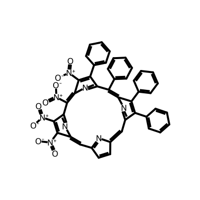 O=[N+]([O-])C1=C2N=C(C(c3ccccc3)=C3N=C(C=C4C=CC(=N4)C=C4N=C1C([N+](=O)[O-])=C4[N+](=O)[O-])C(c1ccccc1)=C3c1ccccc1)C(c1ccccc1)=C2[N+](=O)[O-]